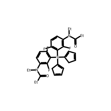 CCC(=O)N(CC)c1ccc(F)[c]([Ti]([C]2=CC=CC2)([C]2=CC=CC2)[c]2c(F)ccc(N(CC)C(=O)CC)c2F)c1F